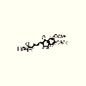 COc1cc2c(cc1OC)C(=O)C(CCCCC(=O)NO)CC2